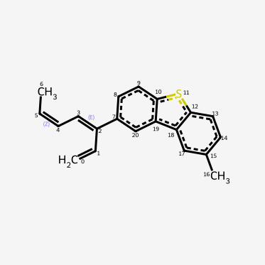 C=C/C(=C\C=C/C)c1ccc2sc3ccc(C)cc3c2c1